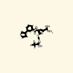 CSc1sc(C(=N)N)cc1S(=O)(=O)c1cccc(-c2ccsc2)c1.O=C(O)C(F)(F)F